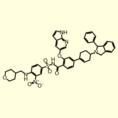 O=C(NS(=O)(=O)c1ccc(NCC2CCOCC2)c([N+](=O)[O-])c1)c1ccc(C2=CCC(N3Cc4ccccc4C3c3ccccc3)CC2)cc1Oc1cnc2[nH]ccc2c1